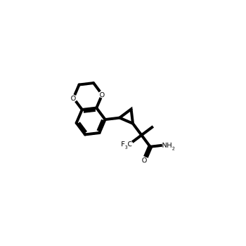 CC(C(N)=O)(C1CC1c1cccc2c1OCCO2)C(F)(F)F